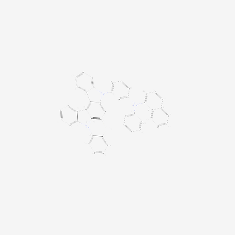 c1ccc(N(c2cccc(-n3c4ccccc4c4c5c6ccccc6n6c5c(cc43)Sc3ccccc3-6)c2)c2cccc3ccccc23)cc1